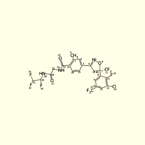 Cc1cc(C2=NO[C@](c3cc(C(F)(F)F)cc(Cl)c3F)(C(F)(F)F)C2)ccc1C(=O)NCC(=O)NC(F)C(F)F